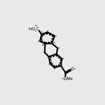 COC(=O)c1ccc2c(c1)Cc1ccc(C(=O)O)cc1C2